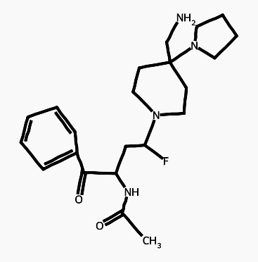 CC(=O)NC(CC(F)N1CCC(CN)(N2CCCC2)CC1)C(=O)c1ccccc1